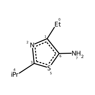 CCc1nc(C(C)C)sc1N